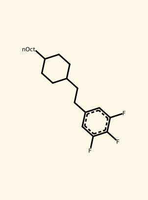 CCCCCCCCC1CCC(CCc2cc(F)c(F)c(F)c2)CC1